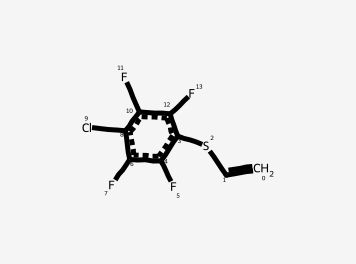 C=CSc1c(F)c(F)c(Cl)c(F)c1F